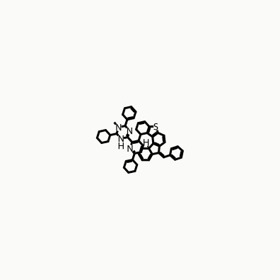 CN1C(C2=CC=CCC2)N=C(c2nc(C3=CCCCC3)ccc2C2CC=Cc3sc4ccc5c(c4c32)[C@H]2CC=CC=C2/C5=C/c2ccccc2)NC1C1CCCCC1